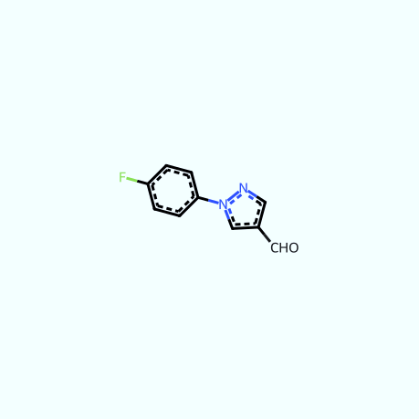 O=Cc1cnn(-c2ccc(F)cc2)c1